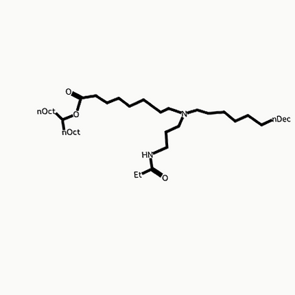 CCCCCCCCCCCCCCCCN(CCCCCCCC(=O)OC(CCCCCCCC)CCCCCCCC)CCCNC(=O)CC